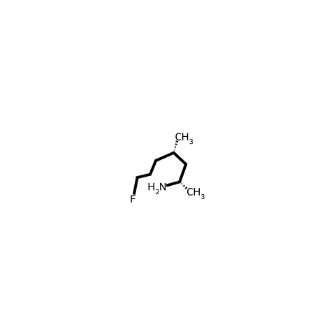 C[C@@H](CCCF)C[C@H](C)N